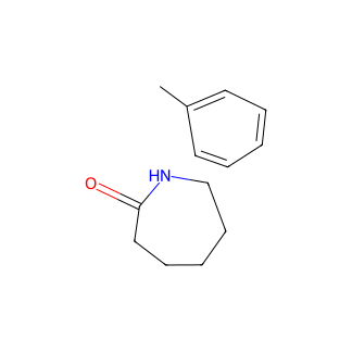 Cc1ccccc1.O=C1CCCCCN1